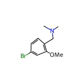 COc1cc(Br)ccc1CN(C)C